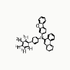 [2H]c1c([2H])c([2H])c(-c2ccc(N(c3ccc4c(c3)oc3ccccc34)c3cc4ccccc4c4ccccc34)cc2)c([2H])c1[2H]